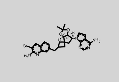 CC1(C)O[C@H]2[C@H](n3ccc4c(N)ncnc43)CC3(CC(Cc4ccc5cc(Br)c(N)nc5c4)C3)[C@H]2O1